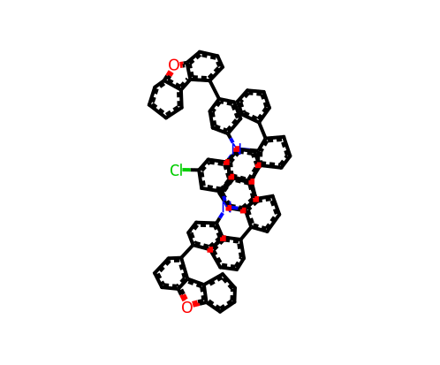 Clc1cc(N(c2ccc(-c3cccc4oc5ccccc5c34)cc2)c2c(-c3ccccc3)cccc2-c2ccccc2)cc(N(c2ccc(-c3cccc4oc5ccccc5c34)cc2)c2c(-c3ccccc3)cccc2-c2ccccc2)c1